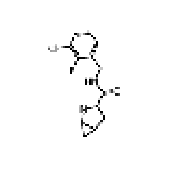 O=C(NCc1cccc(Cl)c1F)C1CC2CC2N1